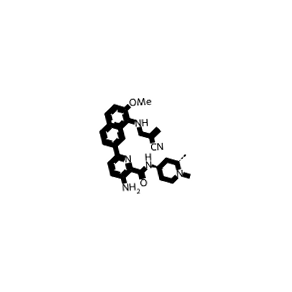 C=C(C#N)CNc1c(OC)ccc2ccc(-c3ccc(N)c(C(=O)N[C@@H]4CCN(C)[C@@H](C)C4)n3)cc12